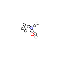 c1ccc(-c2ccc(N(c3ccc(-c4ccccc4-c4cc5ccccc5c5ccccc45)cc3)c3ccc4oc5c6ccccc6ccc5c4c3)cc2)cc1